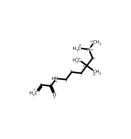 C=CC(=O)NCCCC(C)(C)CN(C)C